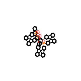 O=P(c1ccccc1)(c1ccc2c(c1)C1(c3ccccc3-c3ccccc31)c1ccccc1-2)c1ccc2c(c1)C1(c3ccccc3-c3ccc(-c4cccc(P(=O)(c5ccccc5)c5ccc6c(c5)C5(c7ccccc7-c7ccc(P(=O)(c8ccccc8)c8ccccc8)cc75)c5ccccc5-6)c4)cc31)c1ccccc1-2